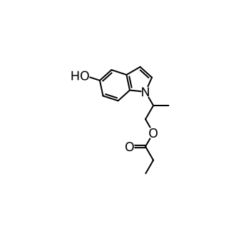 CCC(=O)OCC(C)n1ccc2cc(O)ccc21